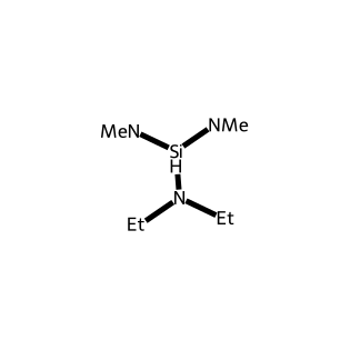 CCN(CC)[SiH](NC)NC